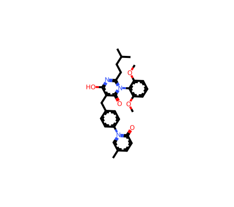 COc1cccc(OC)c1-n1c(CCC(C)C)nc(O)c(Cc2ccc(-n3cc(C)ccc3=O)cc2)c1=O